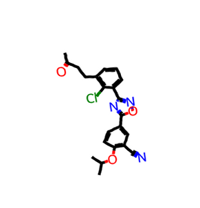 CC(=O)CCc1cccc(-c2noc(-c3ccc(OC(C)C)c(C#N)c3)n2)c1Cl